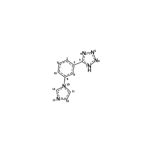 c1cc(-c2nnn[nH]2)cc(-n2ccnc2)c1